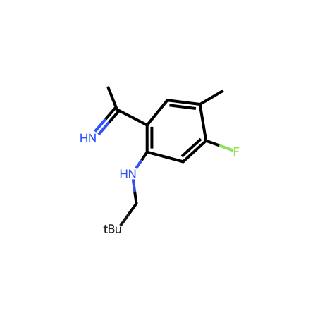 CC(=N)c1cc(C)c(F)cc1NCC(C)(C)C